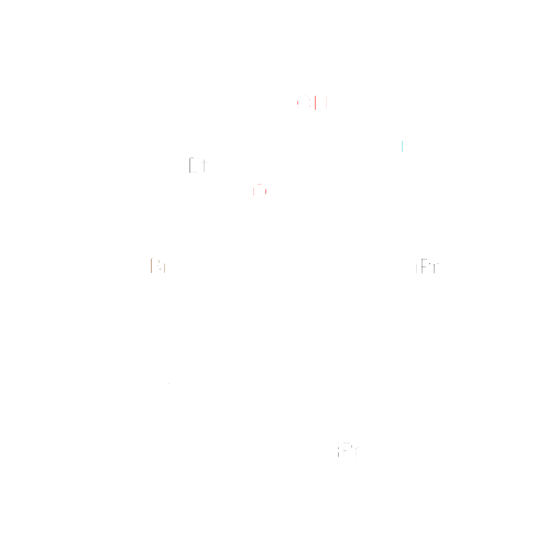 CCOc1c(/C(=C(/F)CO)C(C)C)cc2c(c1Br)C(C)(C)CC=C2C(C)C